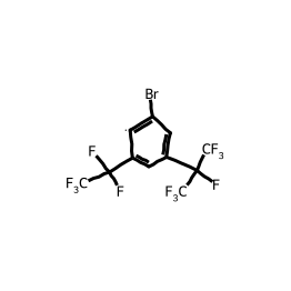 FC(F)(F)C(F)(F)c1[c]c(Br)cc(C(F)(C(F)(F)F)C(F)(F)F)c1